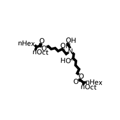 CCCCCCCCC(CCCCCC)C(=O)OCCCC[C@H](O)CN(CCO)C[C@@H](O)CCCCOC(=O)C(CCCCCC)CCCCCCCC